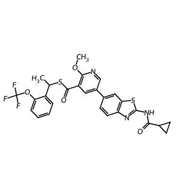 COc1ncc(-c2ccc3nc(NC(=O)C4CC4)sc3c2)cc1C(=O)SC(C)c1ccccc1OC(F)(F)F